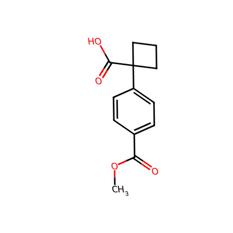 COC(=O)c1ccc(C2(C(=O)O)CCC2)cc1